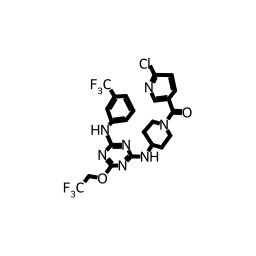 O=C(c1ccc(Cl)nc1)N1CCC(Nc2nc(Nc3cccc(C(F)(F)F)c3)nc(OCC(F)(F)F)n2)CC1